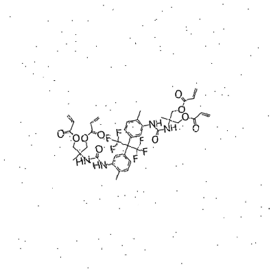 C=CC(=O)OCC(C)(COC(=O)C=C)NC(=O)Nc1cc(C(c2ccc(C)c(NC(=O)NC(C)(COC(=O)C=C)COC(=O)C=C)c2)(C(F)(F)F)C(F)(F)F)ccc1C